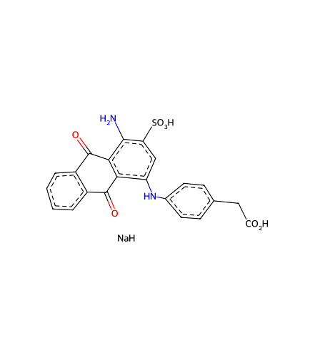 Nc1c(S(=O)(=O)O)cc(Nc2ccc(CC(=O)O)cc2)c2c1C(=O)c1ccccc1C2=O.[NaH]